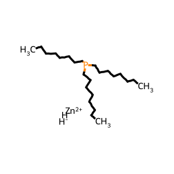 CCCCCCCCP(CCCCCCCC)CCCCCCCC.[H-].[H-].[Zn+2]